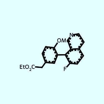 CCOC(=O)Cc1ccc(OC)c(-c2c(F)ccc3ccncc23)c1